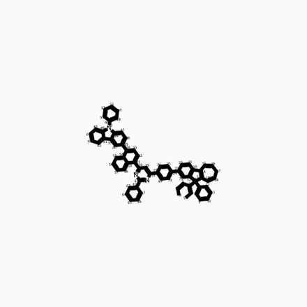 C/C=C\C(=C/C)C1(c2ccccc2)C2=C(C=CCC=C2)c2ccc(-c3ccc(-c4cc(-c5ccc(-c6ccc7c(c6)c6ccccc6n7-c6ccccc6)c6ccccc56)nc(-c5ccccc5)n4)cc3)cc21